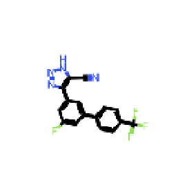 N#Cc1[nH]nnc1-c1cc(F)cc(-c2ccc(C(F)(F)F)cc2)c1